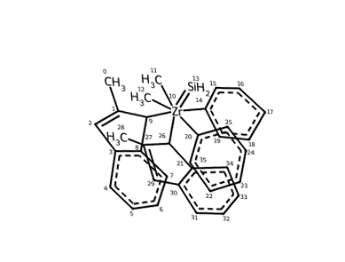 CC1=Cc2ccccc2[CH]1[Zr]([CH3])([CH3])(=[SiH2])([c]1ccccc1)([c]1ccccc1)[CH]1C(C)=Cc2ccccc21